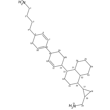 NCCCCC1C=CC(C2C=CC(C3CCC(C4CC4CN)C4CCCCC34)CC2)=CC1